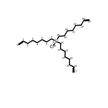 C=CCCCCCC[Si](Cl)(CCCCCCC=C)CCCCCCC=C